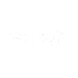 O=C(Nc1ccc2conc2c1)c1cnn(-c2cccc3c(=O)[nH]ccc23)c1C(F)(F)F